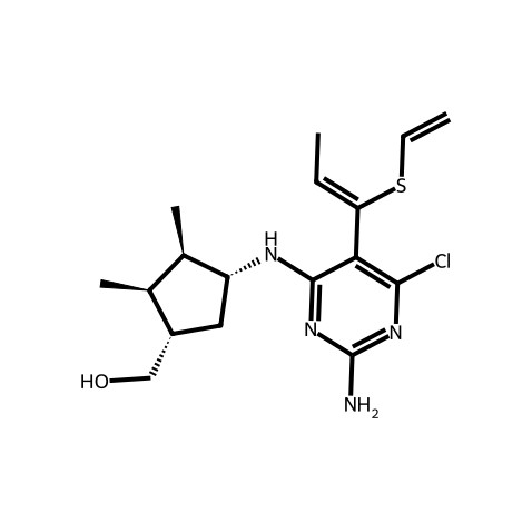 C=CS/C(=C\C)c1c(Cl)nc(N)nc1N[C@@H]1C[C@H](CO)[C@@H](C)[C@H]1C